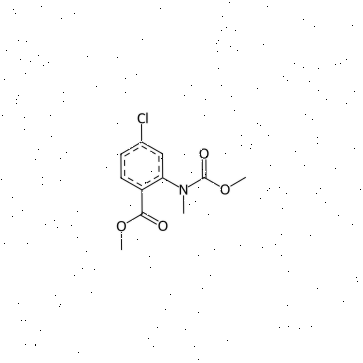 COC(=O)c1ccc(Cl)cc1N(C)C(=O)OC